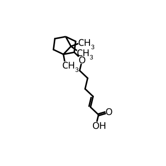 CC1(C)C2CCC1(C)C(OCCCC=CC(=O)O)C2